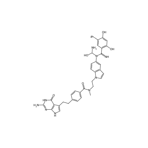 CC(C)c1cc(C(=N)N(c2ccc3c(ccn3CCN(C)C(=O)c3ccc(CCc4c[nH]c5nc(N)[nH]c(=O)c45)cc3)c2)C(N)O)c(O)cc1O